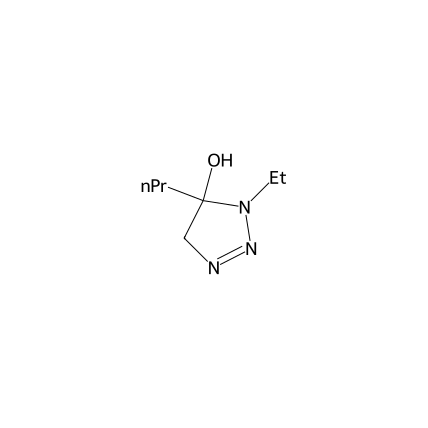 CCCC1(O)CN=NN1CC